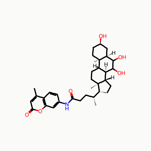 Cc1cc(=O)oc2cc(NC(=O)CC[C@@H](C)[C@H]3CC[C@H]4[C@@H]5C(O)C(O)[C@@H]6C[C@H](O)CC[C@]6(C)[C@H]5CC[C@]34C)ccc12